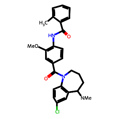 CNC1CCCN(C(=O)c2ccc(NC(=O)c3ccccc3C)c(OC)c2)c2ccc(Cl)cc21